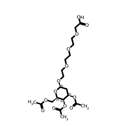 CC(=O)OC[C@H]1O[C@@H](OCCOCCOCCOCC(=O)O)C[C@@H](OC(C)=O)[C@H]1OC(C)=O